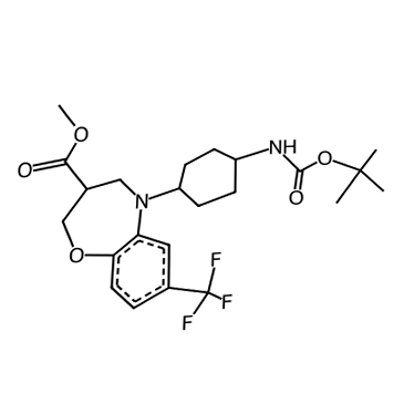 COC(=O)C1COc2ccc(C(F)(F)F)cc2N(C2CCC(NC(=O)OC(C)(C)C)CC2)C1